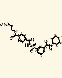 COCCNC(=O)c1ccc(C(=O)NS(=O)(=O)c2cccc(C(=O)NC3CCCCC3)c2)cn1